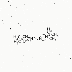 CC(C)(C)OC1CN(CCN2CCN(C(C)(C)C)CC2)C1